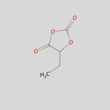 CCC1OC(=O)OC1=O